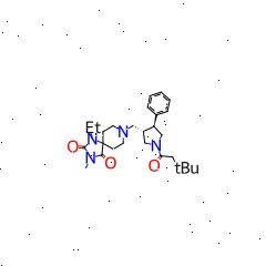 CCN1C(=O)N(C)C(=O)C12CCN(C[C@H]1CN(C(=O)CC(C)(C)C)C[C@@H]1c1ccccc1)CC2